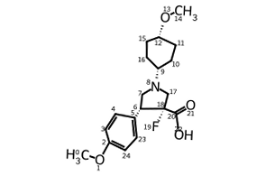 COc1ccc([C@@H]2CN([C@H]3CC[C@@H](OC)CC3)C[C@@]2(F)C(=O)O)cc1